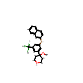 COC1(c2cc(Sc3ccc4ccccc4c3)cc(C(F)(F)F)c2)CCOCC1